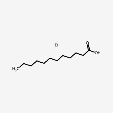 CCCCCCCCCCCC(=O)O.[Er]